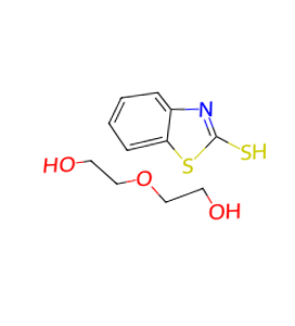 OCCOCCO.Sc1nc2ccccc2s1